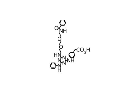 O=C(O)Cc1ccc(Nc2nc(NCCOCCOCCNC(=O)c3ccccc3)nc(Nc3ccccc3)n2)cc1